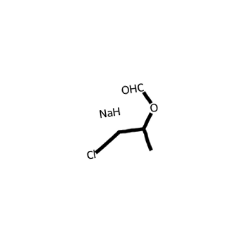 CC(CCl)OC=O.[NaH]